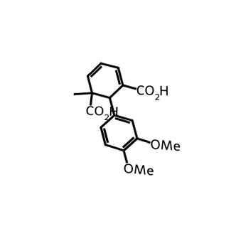 COc1ccc(C2C(C(=O)O)=CC=CC2(C)C(=O)O)cc1OC